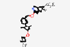 CCOC(=O)[C@@H]1C2c3cnc(OCc4cccc(-c5c(C)cc(O[C@H]6C[C@@](C)(C#N)C6)cc5C)c4)cc3C[C@H]21